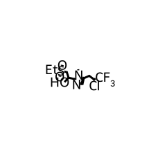 CCS(=O)(=O)CC(O)c1ncc(CC(Cl)C(F)(F)F)n1C